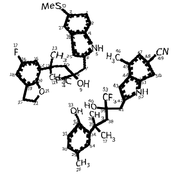 CSc1ccc2[nH]c(CC(O)(CC(C)(C)c3cc(F)cc4c3OCC4)C(F)(F)F)cc2c1.Cc1ccc(O)c(C(C)(C)CC(O)(Cc2cc3c(C)cc(C#N)cc3[nH]2)C(F)(F)F)c1